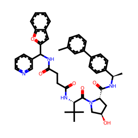 Cc1cccc(-c2ccc([C@@H](C)NC(=O)[C@@H]3C[C@@H](O)CN3C(=O)[C@@H](NC(=O)CCC(=O)NC(c3cccnc3)c3cc4ccccc4o3)C(C)(C)C)cc2)c1